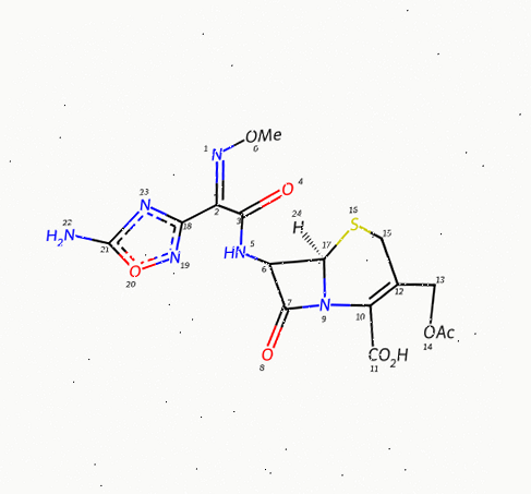 CO/N=C(\C(=O)NC1C(=O)N2C(C(=O)O)=C(COC(C)=O)CS[C@H]12)c1noc(N)n1